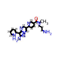 CN(CCCN)C(=O)c1ccc(-c2cnc3c(-c4ccccn4)c(N)nn3c2)nc1